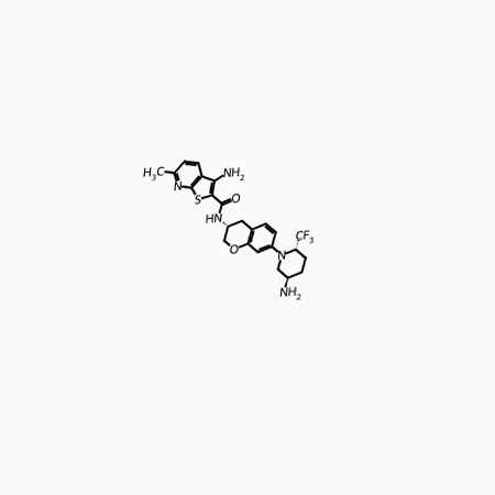 Cc1ccc2c(N)c(C(=O)N[C@H]3COc4cc(N5C[C@H](N)CC[C@H]5C(F)(F)F)ccc4C3)sc2n1